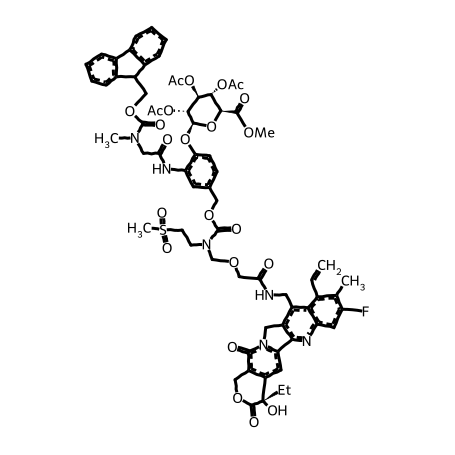 C=Cc1c(C)c(F)cc2nc3c(c(CNC(=O)COCN(CCS(C)(=O)=O)C(=O)OCc4ccc(O[C@@H]5O[C@H](C(=O)OC)[C@@H](OC(C)=O)[C@H](OC(C)=O)[C@H]5OC(C)=O)c(NC(=O)CN(C)C(=O)OCC5c6ccccc6-c6ccccc65)c4)c12)Cn1c-3cc2c(c1=O)COC(=O)[C@]2(O)CC